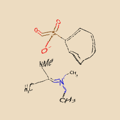 CNC(C)=[N+](C)C.O=S(=O)([O-])c1ccccc1